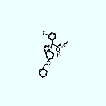 CNCC(O)C(c1cccc(F)c1)n1ccc2cc(OCc3ccccc3)ccc21